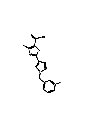 Cc1nc(-c2ccn(Cc3cccc(F)c3)n2)sc1C(=O)O